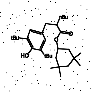 CCCCC(Cc1cc(C(C)(C)C)c(O)c(C(C)(C)C)c1)C(=O)OC1CC(C)(C)CC(C)(C)C1